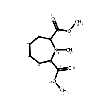 COC(=O)C1CCCCC(C(=O)OC)N1C